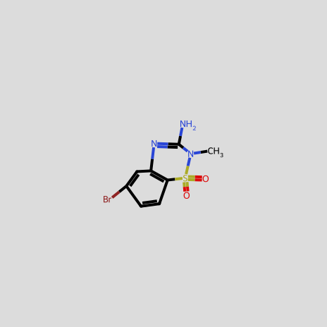 CN1C(N)=Nc2cc(Br)ccc2S1(=O)=O